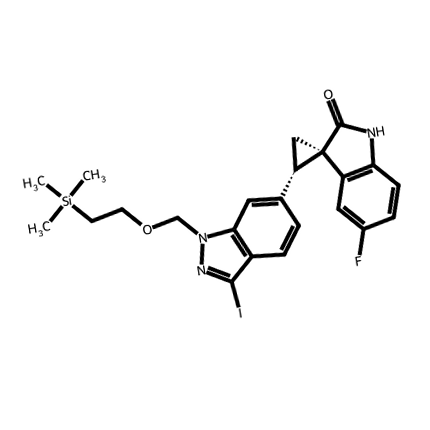 C[Si](C)(C)CCOCn1nc(I)c2ccc([C@@H]3C[C@@]34C(=O)Nc3ccc(F)cc34)cc21